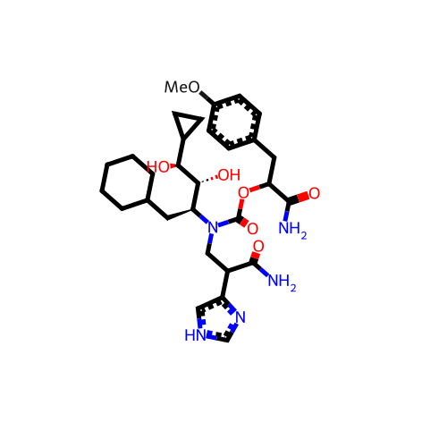 COc1ccc(CC(OC(=O)N(CC(C(N)=O)c2c[nH]cn2)[C@@H](CC2CCCCC2)[C@@H](O)[C@@H](O)C2CC2)C(N)=O)cc1